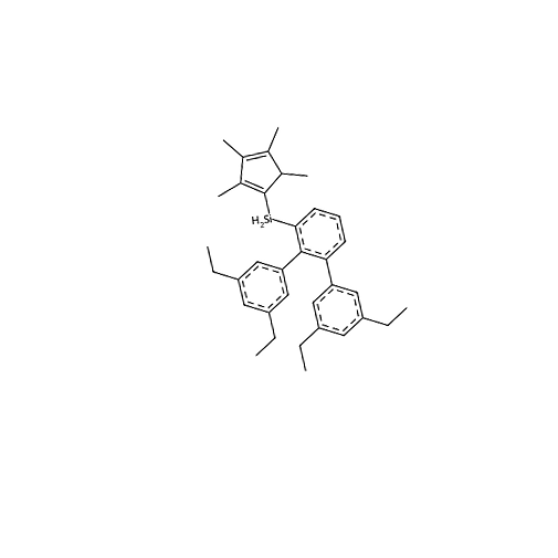 CCc1cc(CC)cc(-c2cccc([SiH2]C3=C(C)C(C)=C(C)C3C)c2-c2cc(CC)cc(CC)c2)c1